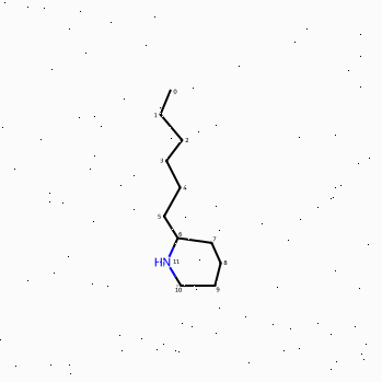 CCCCCCC1CCC[CH]N1